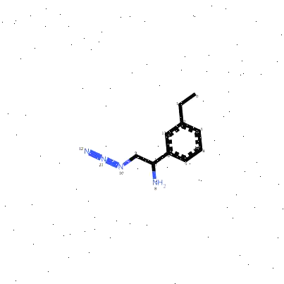 CCc1cccc(C(N)CN=[N+]=[N-])c1